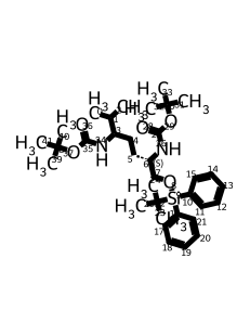 CC(C)C(CC[C@@H](CO[Si](c1ccccc1)(c1ccccc1)C(C)(C)C)NC(=O)OC(C)(C)C)NC(=O)OC(C)(C)C